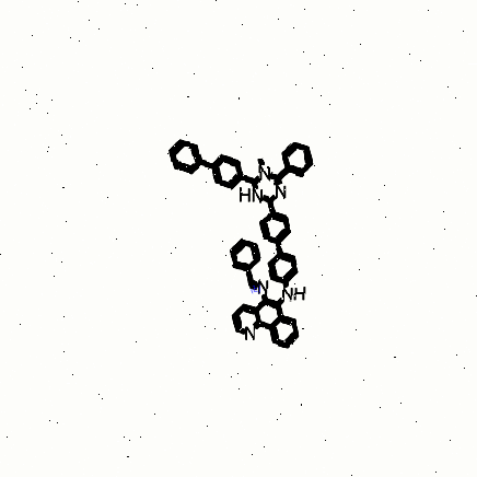 CN1C(c2ccccc2)=NC(c2ccc(-c3ccc(Nc4c(/N=C/c5ccccc5)c5cccnc5c5ccccc45)cc3)cc2)NC1c1ccc(-c2ccccc2)cc1